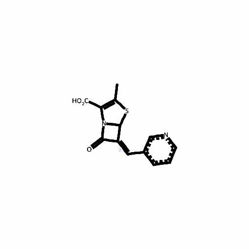 CC1=C(C(=O)O)N2C(=O)/C(=C/c3cccnc3)C2S1